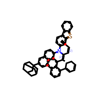 C#C/C=C\C(=C(/C)c1cccc2cccc(C3=CC=CCC3)c12)N(c1ccc2cc(C34CC5CC(CC(C5)C3)C4)ccc2c1)c1ccc2c(c1)sc1ccccc12